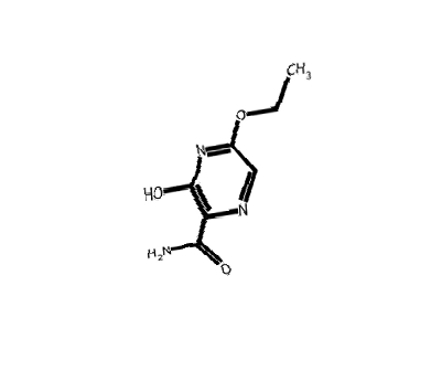 CCOc1cnc(C(N)=O)c(O)n1